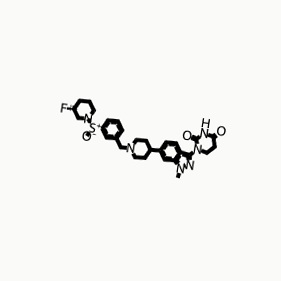 Cn1nc(N2CCC(=O)NC2=O)c2ccc(C3CCN(Cc4cccc([S+]([O-])N5CCC[C@H](F)C5)c4)CC3)cc21